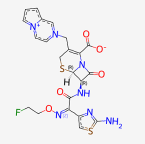 Nc1nc(/C(=N/OCCF)C(=O)N[C@@H]2C(=O)N3C(C(=O)[O-])=C(Cn4cc[n+]5cccc-5c4)CS[C@H]23)cs1